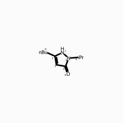 CCCCc1cc(=O)n(C(C)C)[nH]1